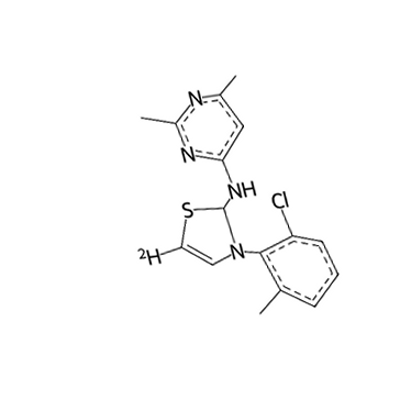 [2H]C1=CN(c2c(C)cccc2Cl)C(Nc2cc(C)nc(C)n2)S1